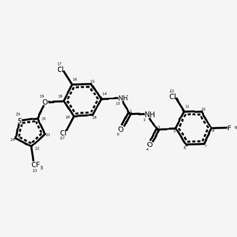 O=C(NC(=O)c1ccc(F)cc1Cl)Nc1cc(Cl)c(Oc2cc(C(F)(F)F)cs2)c(Cl)c1